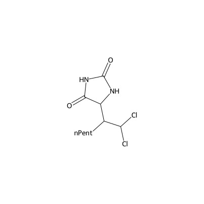 CCCCCC(C(Cl)Cl)C1NC(=O)NC1=O